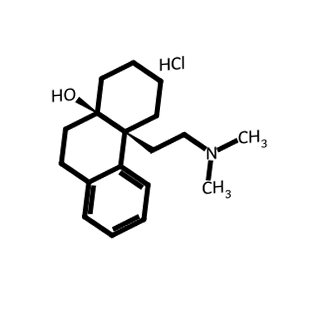 CN(C)CC[C@]12CCCC[C@@]1(O)CCc1ccccc12.Cl